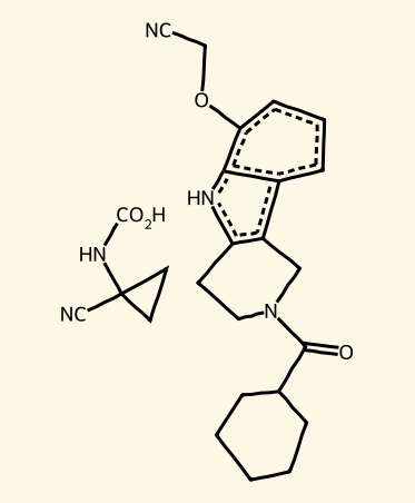 N#CC1(NC(=O)O)CC1.N#CCOc1cccc2c3c([nH]c12)CCN(C(=O)C1CCCCC1)C3